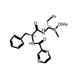 COB(C)[C@@H](CC(C)C)NC(=O)[C@H](Cc1ccccc1)NC(=O)c1cnccn1